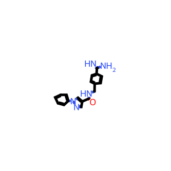 N=C(N)c1ccc(CNC(=O)c2cnn(-c3ccccc3)c2)cc1